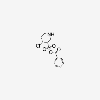 O=C(OS(=O)(=O)C1CNCCC1Cl)c1ccccc1